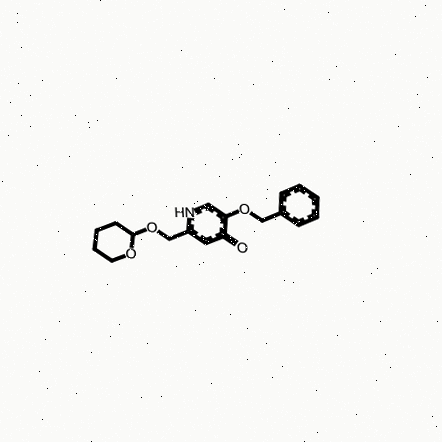 O=c1cc(COC2CCCCO2)[nH]cc1OCc1ccccc1